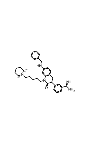 C[C@@H]1CCC[C@H](C)N1CCCCCN1C(=O)C(c2cccc(C(=N)N)c2)Cc2ccc(NCc3ccccc3)cc21